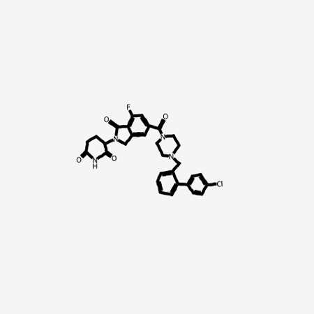 O=C1CCC(N2Cc3cc(C(=O)N4CCN(Cc5ccccc5-c5ccc(Cl)cc5)CC4)cc(F)c3C2=O)C(=O)N1